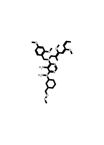 C\C=C/C(=C\C(OC)=C(/C)CN(Cc1ccc(OC)cc1OC)c1ncnc(N(N)C2CCCC(COSC)C2)c1N)OC